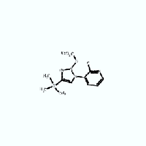 CCOC(=O)ON1NC([Si](C)(C)C)=CN1c1cccnc1F